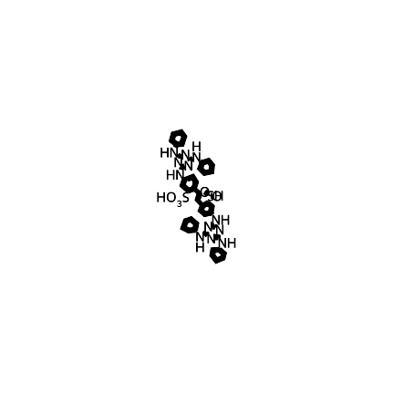 O=[SH](=O)c1cc(Nc2nc(Nc3ccccc3)nc(Nc3ccccc3)n2)ccc1/C=C/c1ccc(Nc2nc(Nc3ccccc3)nc(Nc3ccccc3)n2)cc1S(=O)(=O)O